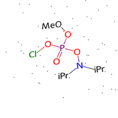 COOP(=O)(OCl)ON(C(C)C)C(C)C